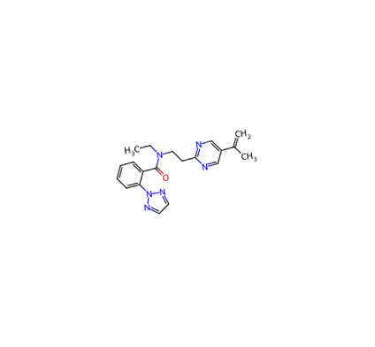 C=C(C)c1cnc(CCN(CC)C(=O)c2ccccc2-n2nccn2)nc1